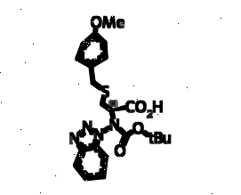 COc1ccc(CSC[C@@H](C(=O)O)N(C(=O)OC(C)(C)C)n2nnc3ccccc32)cc1